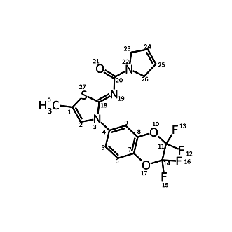 Cc1cn(-c2ccc3c(c2)OC(F)(F)C(F)(F)O3)c(=NC(=O)N2CC=CC2)s1